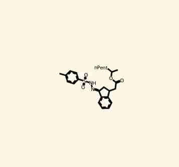 CCCCCC(C)OC(=O)CC1CC(=NNS(=O)(=O)c2ccc(C)cc2)c2ccccc21